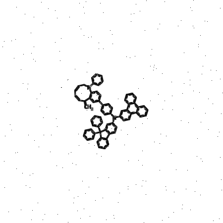 C=C1/C=C\C=C/CN(c2ccccc2)c2ccc(-c3ccc(N(c4ccc5c(c4)C(c4ccccc4)(c4ccccc4)c4ccccc4-5)c4ccc5c6ccccc6c6ccccc6c5c4)cc3)cc21